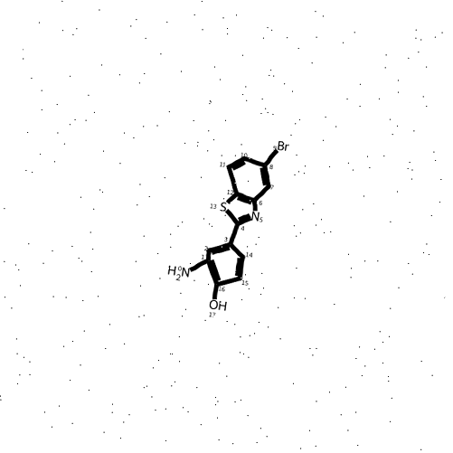 Nc1cc(-c2nc3cc(Br)ccc3s2)ccc1O